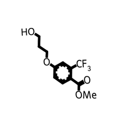 COC(=O)c1ccc(OCCCO)cc1C(F)(F)F